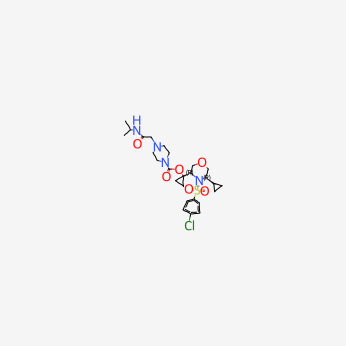 CC(C)NC(=O)CN1CCN(C(=O)OC2([C@H]3COC[C@@H](C4CC4)N3S(=O)(=O)c3ccc(Cl)cc3)CC2)CC1